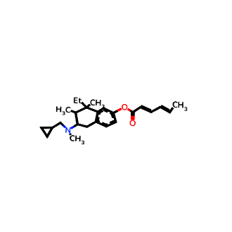 C/C=C/C=C/C(=O)Oc1ccc2c(c1)C(C)(CC)C(C)C(N(C)CC1CC1)C2